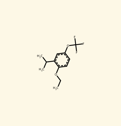 [CH2]C(C)c1cc(OC(F)(F)F)ccc1OCC